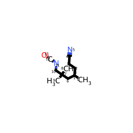 CC(CCC#N)CC(C)(C)CN=C=O